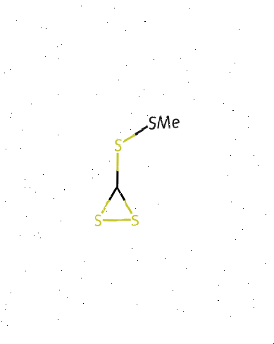 CSSC1SS1